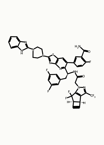 NC(=O)c1cc(-c2cc3sc(N4CCN(c5nc6ccccc6[nH]5)CC4)nc3nc2[C@H](Cc2cc(F)cc(F)c2)NC(=O)Cn2nc(C(F)(F)F)c3c2C(F)(F)[C@@H]2C#C[C@H]32)ccc1F